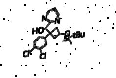 CC(C)(C)[Si](C)(C)OC1CC(c2ccc(Cl)c(Cl)c2)(C(O)c2ncccn2)C1